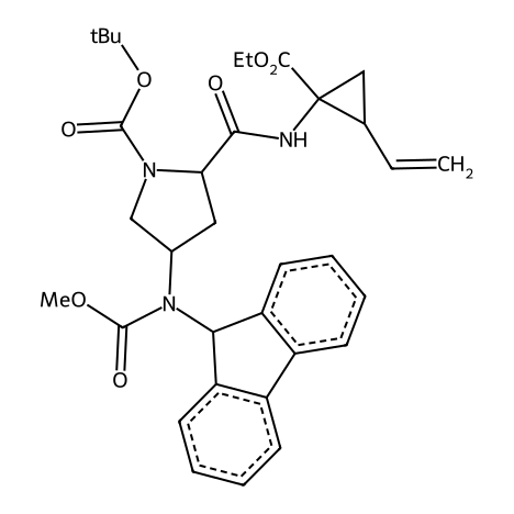 C=CC1CC1(NC(=O)C1CC(N(C(=O)OC)C2c3ccccc3-c3ccccc32)CN1C(=O)OC(C)(C)C)C(=O)OCC